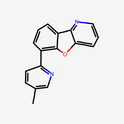 Cc1ccc(-c2cccc3c2oc2cccnc23)nc1